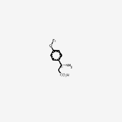 CCOc1ccc([C@H](N)CC(=O)O)cc1